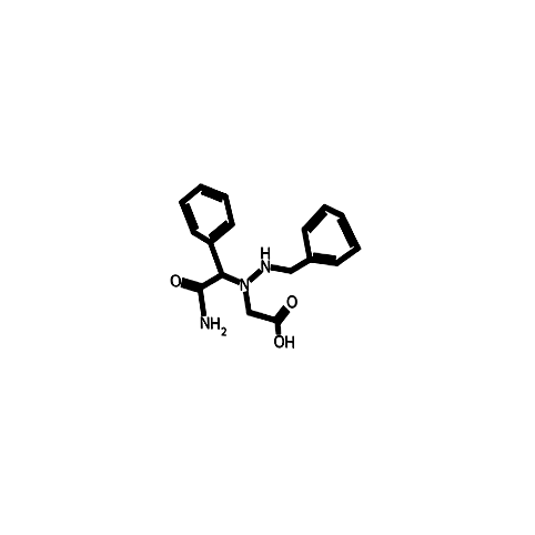 NC(=O)C(c1ccccc1)N(CC(=O)O)NCc1ccccc1